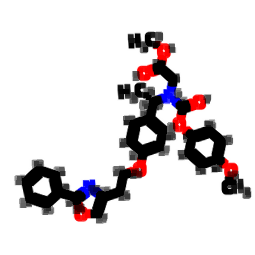 COC(=O)CN(C(=O)Oc1ccc(OC)cc1)[C@@H](C)c1ccc(OCCc2coc(-c3ccccc3)n2)cc1